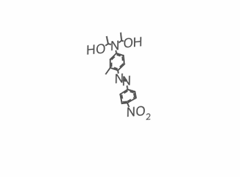 Cc1cc(N(C(C)O)C(C)O)ccc1N=Nc1ccc([N+](=O)[O-])cc1